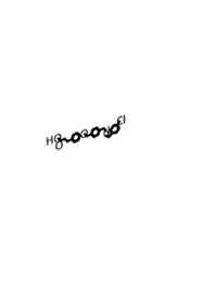 O=C(O)CCc1ccc(OCc2ccc(Cn3ccc4ccc(Cl)cc43)cc2)cc1